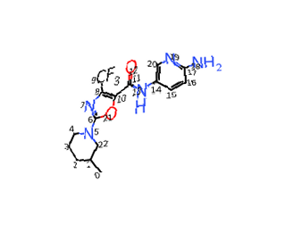 CC1CCCN(c2nc(C(F)(F)F)c(C(=O)Nc3ccc(N)nc3)o2)C1